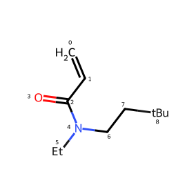 C=CC(=O)N(CC)CCC(C)(C)C